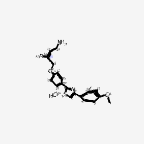 COc1ccc(-c2csc(-c3ccc(OC/C(F)=C\CN)cc3)n2)cc1.Cl